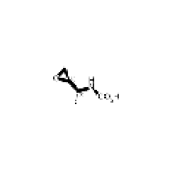 C[C@@H](NC(=O)O)[C@@H]1CO1